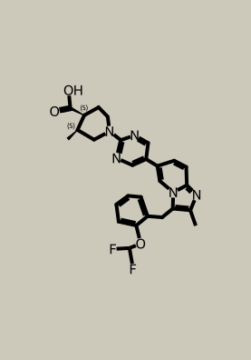 Cc1nc2ccc(-c3cnc(N4CC[C@H](C(=O)O)[C@H](C)C4)nc3)cn2c1Cc1ccccc1OC(F)F